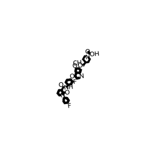 COc1cc2c(Oc3ccc(NC(=O)c4cccn(-c5ccc(F)cc5)c4=O)cc3F)ccnc2cc1OCC1CCN(C(=O)O)CC1